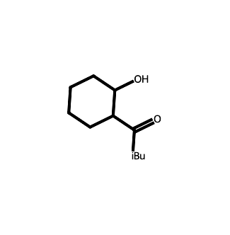 CCC(C)C(=O)C1CCCCC1O